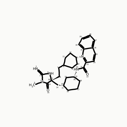 CN1C(=N)N[C@](CCC2CCCCC2)(C[C@H]2CCC[C@@H](NC(=O)c3ccc4ccccc4n3)C2)C1=O